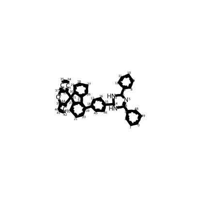 c1ccc(C2=NC(c3ccccc3)NC(c3ccc(-c4cccc5c4-c4ccccc4C54c5ccccc5Oc5ccccc54)cc3)N2)cc1